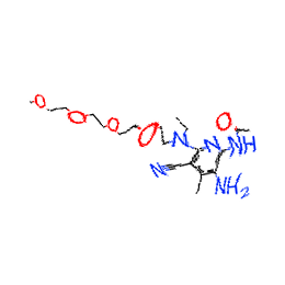 CCN(CCOCCOCCOCCOC)c1nc(NC(C)=O)c(N)c(C)c1C#N